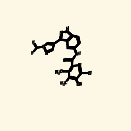 Cc1c(C(=O)Nc2ccc3[nH]nc(-c4cnn(C(F)F)c4)c3c2)nc(Cl)c(C#N)c1C